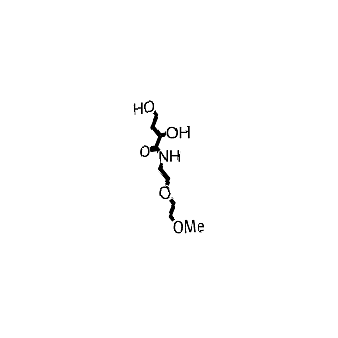 COCCOCCNC(=O)C(O)CCO